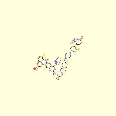 CCc1c(F)ccc2cc(O)cc(-c3ncc4c(N5CC6CCC(C5)N6)nc(OCC5(CN6CCC7(CC6)CCC(F)(CN6CCN(c8cc(F)c(C9CCC(=O)NC9=O)c(F)c8)CC6)CC7)CC5)nc4c3F)c12